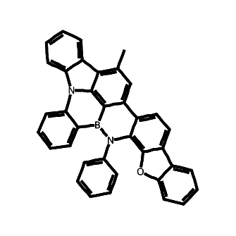 Cc1cc2c3c4c1c1ccccc1n4-c1ccccc1B3N(c1ccccc1)c1c-2ccc2c1oc1ccccc12